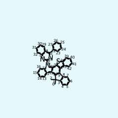 CC1(C)c2ccccc2-c2c1c1c3ccccc3n(-c3nc(-c4ccccc4)c4ccccc4n3)c1c1sc3ccccc3c21